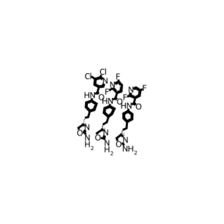 NC1=N[C@@H](CCc2ccc(NC(=O)c3cc(F)cnc3F)cc2)CO1.NC1=N[C@@H](CCc2ccc(NC(=O)c3ccc(F)nc3F)cc2)CO1.NC1=N[C@@H](CCc2ccc(NC(=O)c3cnc(Cl)c(Cl)c3)cc2)CO1